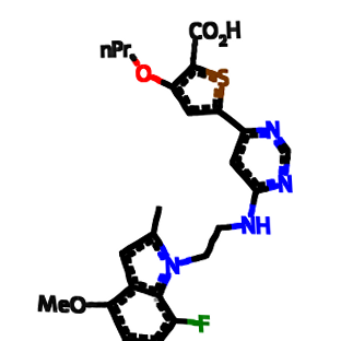 CCCOc1cc(-c2cc(NCCn3c(C)cc4c(OC)ccc(F)c43)ncn2)sc1C(=O)O